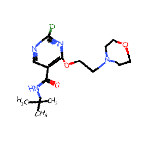 CC(C)(C)NC(=O)c1cnc(Cl)nc1OCCN1CCOCC1